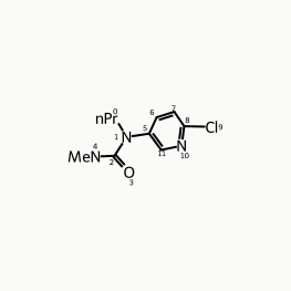 CCCN(C(=O)NC)c1ccc(Cl)nc1